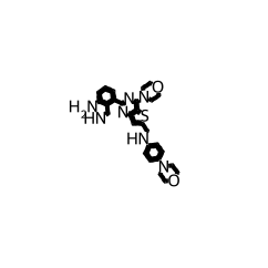 N=Cc1c(N)cccc1-c1nc(N2CCOCC2)c2sc(CNc3ccc(N4CCOCC4)cc3)cc2n1